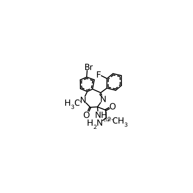 C[C@H](N)C(=O)C1(N)N=C(c2ccccc2F)c2cc(Br)ccc2N(C)C1=O